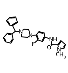 Cn1cccc1C(=O)Nc1ccc(N2CCN(C(c3ccccc3)c3ccccc3)CC2)c(F)c1